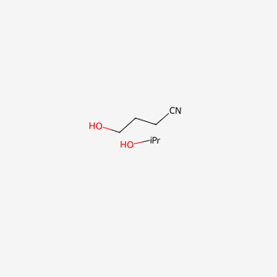 CC(C)O.N#CCCCO